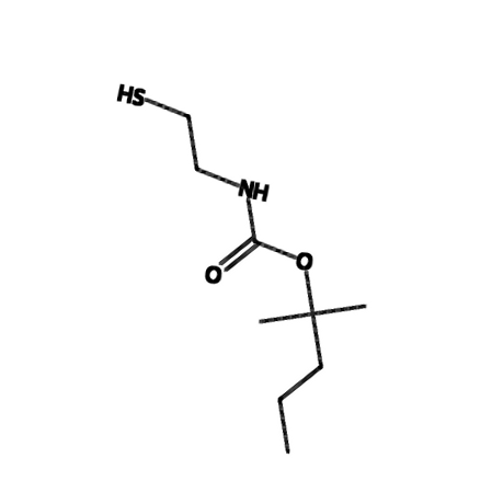 CCCC(C)(C)OC(=O)NCCS